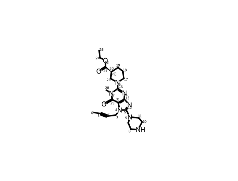 CC#CCn1c(N2CCNCC2)nc2nc(N3CCC[C@H](C(=O)OCC)C3)n(C)c(=O)c21